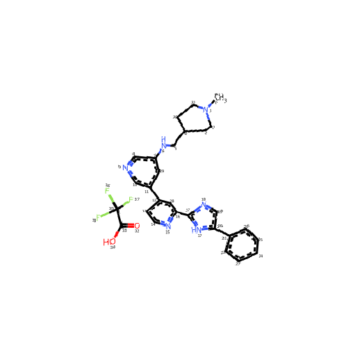 CN1CCC(CNc2cncc(-c3ccnc(-c4ncc(-c5ccccc5)[nH]4)c3)c2)CC1.O=C(O)C(F)(F)F